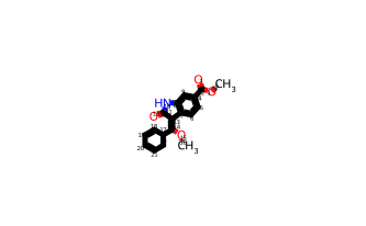 COC(=O)c1ccc2c(c1)NC(=O)/C2=C(/OC)C1C=CC=CC1